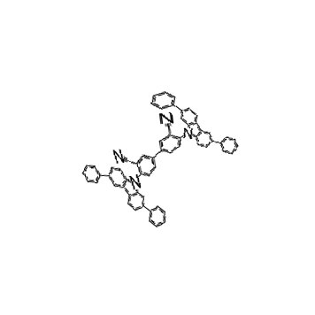 N#Cc1cc(-c2ccc(-n3c4ccc(-c5ccccc5)cc4c4ccc(-c5ccccc5)cc43)c(C#N)c2)ccc1-n1c2ccc(-c3ccccc3)cc2c2ccc(-c3ccccc3)cc21